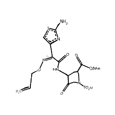 C=CCO/N=C(\C(=O)NC1C(=O)N(S(=O)(=O)O)C1C(=O)OC)c1csc(N)n1